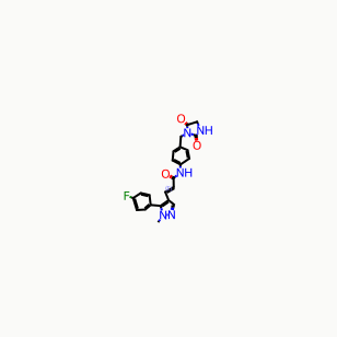 Cn1ncc(/C=C/C(=O)Nc2ccc(CN3C(=O)CNC3=O)cc2)c1-c1ccc(F)cc1